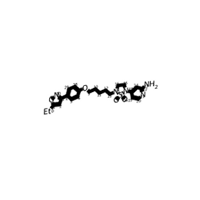 CCc1cc(-c2ccc(OCCCCCN3CCN(c4ccnc(N)c4)S3(=O)=O)cc2)no1